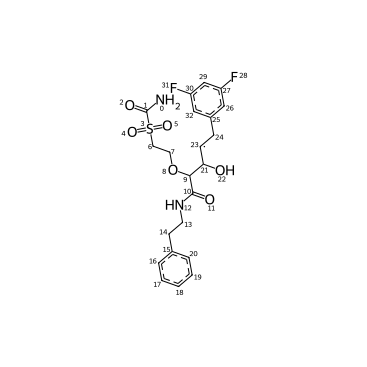 NC(=O)S(=O)(=O)CCOC(C(=O)NCCc1ccccc1)C(O)[CH]Cc1cc(F)cc(F)c1